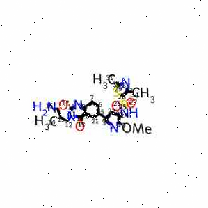 COc1ncc(-c2ccc3ncn(C[C@@H](C)C(N)=O)c(=O)c3c2)cc1NS(=O)(=O)c1sc(C)nc1C